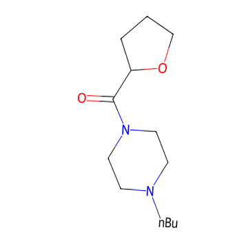 CCCCN1CCN(C(=O)C2CCCO2)CC1